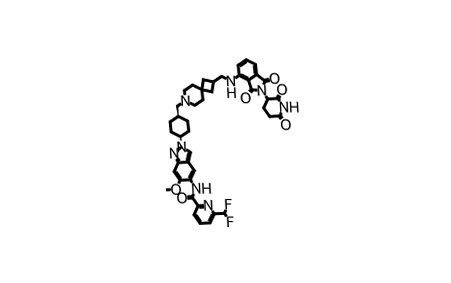 COc1cc2nn([C@H]3CC[C@H](CN4CCC5(CC4)CC(CNc4cccc6c4C(=O)N(C4CCC(=O)NC4=O)C6=O)C5)CC3)cc2cc1NC(=O)c1cccc(C(F)F)n1